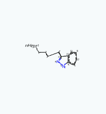 CCCCCCCCCCCC1=N[N]c2ccccc21